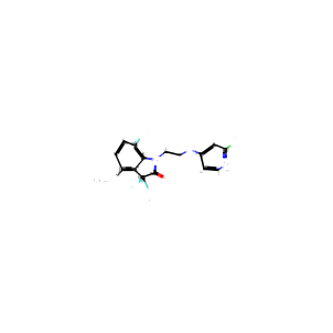 COc1ccc(F)c2c1C(F)(F)C(=O)N2CCNc1ccnc(Cl)c1